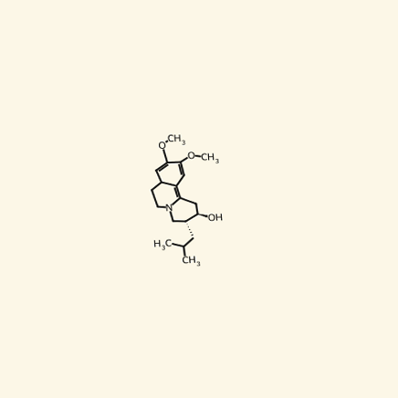 COC1=CC2=C3C[C@@H](O)[C@H](CC(C)C)CN3CCC2C=C1OC